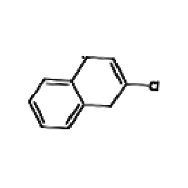 ClC1=C[CH]c2ccccc2C1